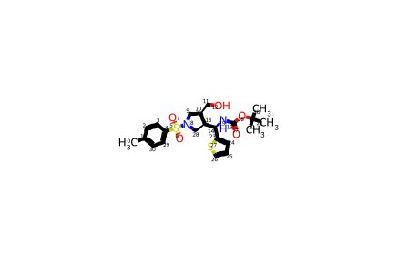 Cc1ccc(S(=O)(=O)N2C[C@@H](CO)[C@@H]([C@@H](NC(=O)OC(C)(C)C)c3cccs3)C2)cc1